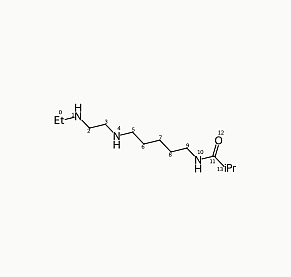 CCNCCNCCCCCNC(=O)C(C)C